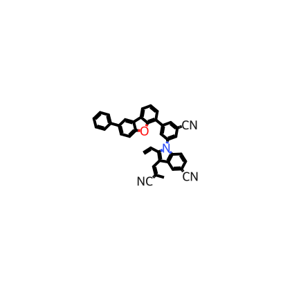 C=Cc1c(/C=C(\C)C#N)c2cc(C#N)ccc2n1-c1cc(C#N)cc(-c2cccc3c2oc2ccc(-c4ccccc4)cc23)c1